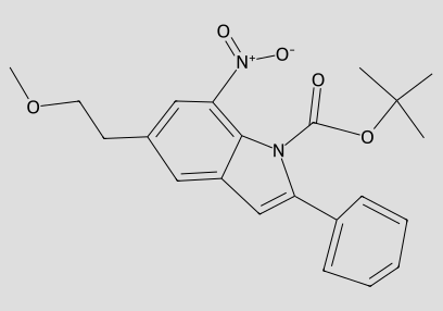 COCCc1cc([N+](=O)[O-])c2c(c1)cc(-c1ccccc1)n2C(=O)OC(C)(C)C